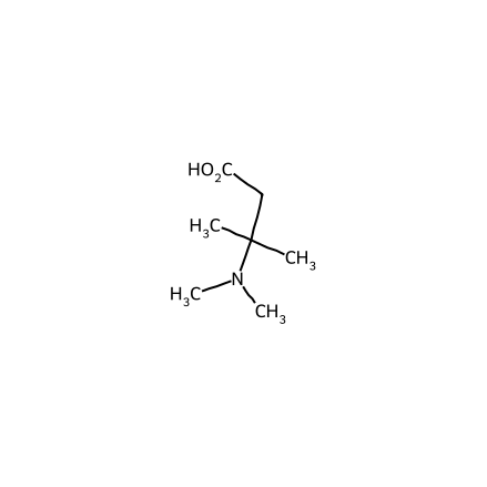 CN(C)C(C)(C)CC(=O)O